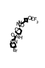 O=C(N[C@@H]1CC[C@@H](c2nnc(C3CC(OC(F)(F)F)C3)o2)OC1)c1cn2ccc(Br)cc2n1